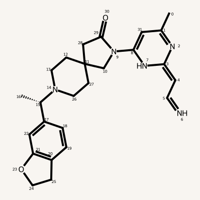 CC1=N/C(=C/C=N)NC(N2CC3(CCN([C@@H](C)c4ccc5c(c4)OCC5)CC3)CC2=O)=C1